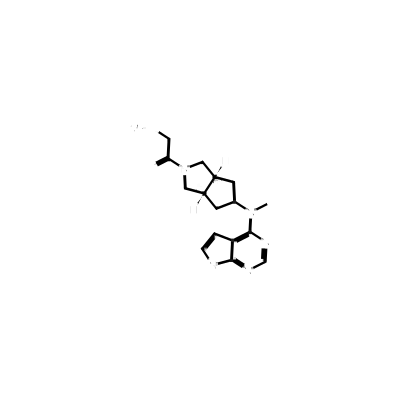 COCC(=O)N1C[C@H]2CC(N(C)c3ncnc4[nH]ccc34)C[C@H]2C1